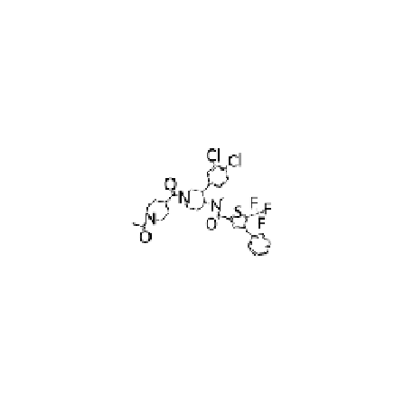 CC(=O)N1CCC(C(=O)N2CC[C@@H](N(C)C(=O)c3cc(-c4ccccc4)c(C(F)(F)F)s3)[C@H](c3ccc(Cl)c(Cl)c3)C2)CC1